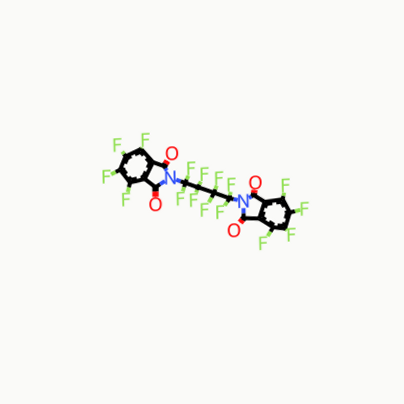 O=C1c2c(F)c(F)c(F)c(F)c2C(=O)N1C(F)(F)C(F)(F)C(F)(F)C(F)(F)N1C(=O)c2c(F)c(F)c(F)c(F)c2C1=O